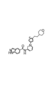 O=C(NC1=CC=CN(c2csc(CCC3CCOCC3)c2)C1)c1ccc2[nH]ncc2c1